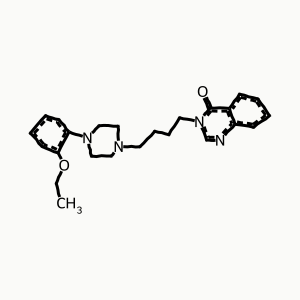 CCOc1ccccc1N1CCN(CCCCn2cnc3ccccc3c2=O)CC1